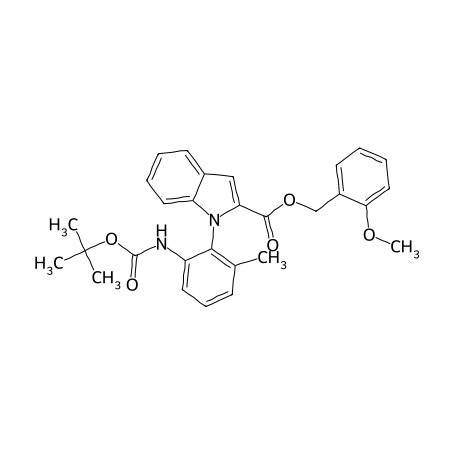 COc1ccccc1COC(=O)c1cc2ccccc2n1-c1c(C)cccc1NC(=O)OC(C)(C)C